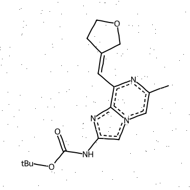 Cc1cn2cc(NC(=O)OC(C)(C)C)nc2c(/C=C2/CCOC2)n1